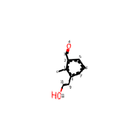 Cc1c(C=O)cccc1CCO